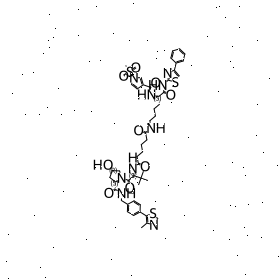 Cc1ncsc1-c1ccc(CNC(=O)[C@@H]2C[C@@H](O)CN2C(=O)[C@@H](NC(=O)CCCCC(=O)NCCCC[C@H](NC(=O)c2ccn(S(C)(=O)=O)c2)C(=O)Nc2nc(-c3ccccc3)cs2)C(C)(C)C)cc1